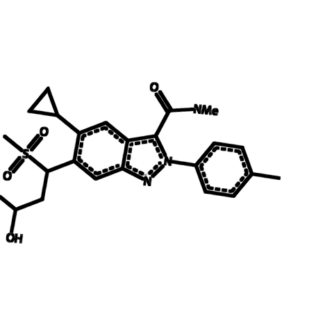 CNC(=O)c1c2cc(C3CC3)c(C(CC(O)O)S(C)(=O)=O)cc2nn1-c1ccc(C)cc1